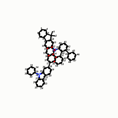 CC1(C)c2ccccc2-c2ccc(N(c3ccc(-c4ccc5c6ccccc6n(-c6ccccc6)c5c4)cc3)c3cccc(-c4ccccc4)c3-c3ccccc3-c3ccccc3)cc21